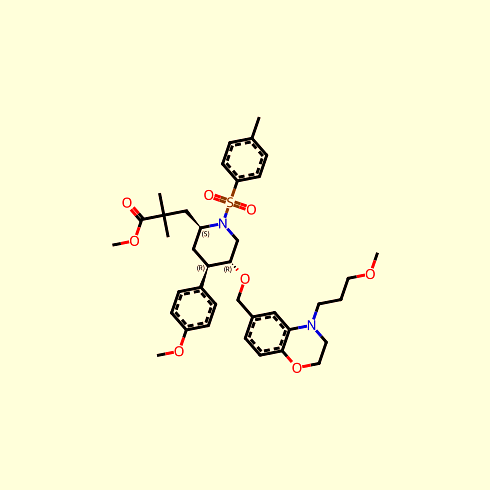 COCCCN1CCOc2ccc(CO[C@H]3CN(S(=O)(=O)c4ccc(C)cc4)[C@H](CC(C)(C)C(=O)OC)C[C@@H]3c3ccc(OC)cc3)cc21